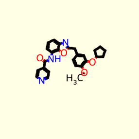 COc1ccc(Cc2nc3cccc(NC(=O)c4ccncc4)c3o2)cc1OC1CCCC1